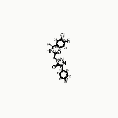 C[C@H](NC(=O)Cn1nnn(-c2ccc(F)cc2)c1=O)c1ccc(F)c(Cl)c1